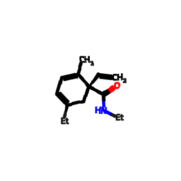 C=C[C@@]1(C(=O)NCC)CC(CC)=CC=C1C